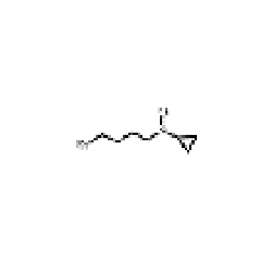 CCN(CCCCC(C)C)C1CC1